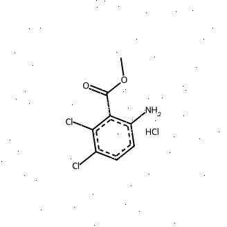 COC(=O)c1c(N)ccc(Cl)c1Cl.Cl